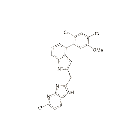 COc1cc(-c2cccc3nc(Cc4nc5nc(Cl)ccc5[nH]4)cn23)c(Cl)cc1Cl